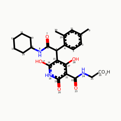 Cc1ccc(C(C(=O)NC2CCCCC2)c2c(O)[nH]c(=O)c(C(=O)NCC(=O)O)c2O)c(C)c1